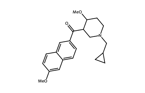 COc1ccc2cc(C(=O)C3CN(CC4CC4)CCC3OC)ccc2c1